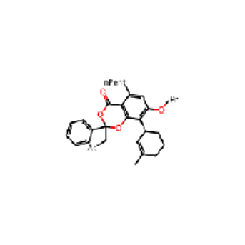 CCCCCc1cc(OC(C)C)c([C@@H]2C=C(C)CCC2)c2c1C(=O)OC(CC(C)=O)(c1ccccc1)O2